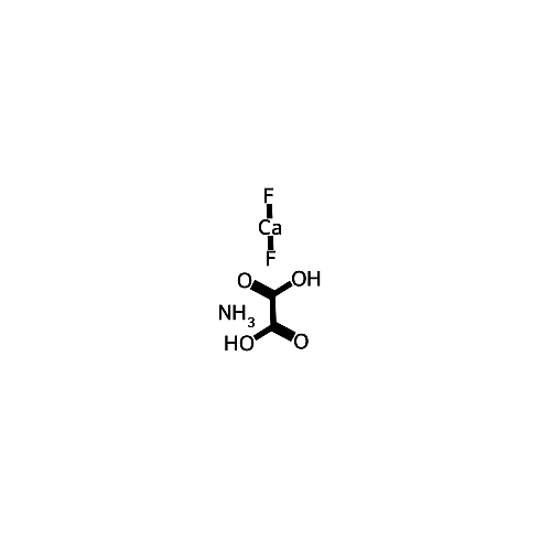 N.O=C(O)C(=O)O.[F][Ca][F]